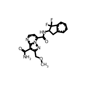 COCc1nn2c(C(=O)NC3Cc4ccccc4C3(F)F)ccnc2c1C(N)=O